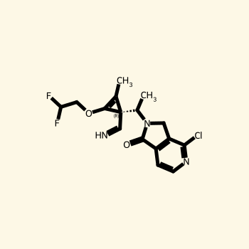 CC1=C(OCC(F)F)[C@@]1(C=N)C(C)N1Cc2c(ccnc2Cl)C1=O